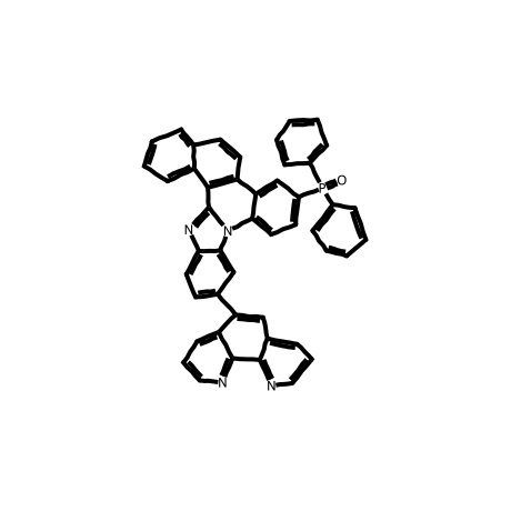 O=P(c1ccccc1)(c1ccccc1)c1ccc2c(c1)c1ccc3ccccc3c1c1nc3ccc(-c4cc5cccnc5c5ncccc45)cc3n21